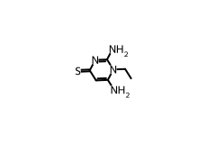 CCn1c(N)cc(=S)nc1N